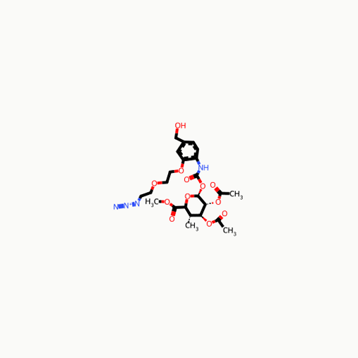 COC(=O)C1O[C@@H](OC(=O)Nc2ccc(CO)cc2OCCOCCN=[N+]=[N-])[C@H](OC(C)=O)[C@@H](OC(C)=O)[C@@H]1C